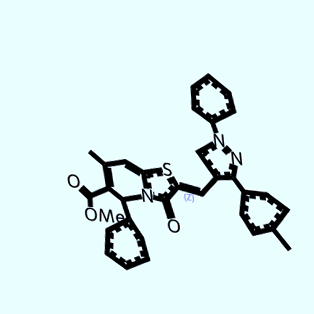 COC(=O)C1=C(C)C=c2s/c(=C\c3cn(-c4ccccc4)nc3-c3ccc(C)cc3)c(=O)n2C1c1ccccc1